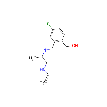 C=CNCC(C)NCc1cc(F)ccc1CO